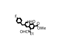 CCN(C=O)c1cc(C(=O)OC)c(O)c2ncc(Cc3ccc(F)cc3)cc12